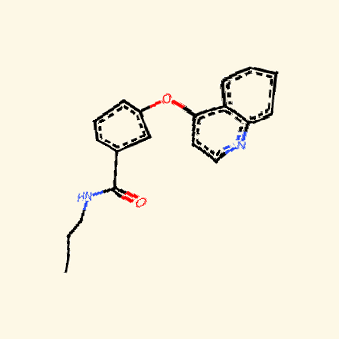 CCCNC(=O)c1cccc(Oc2ccnc3ccccc23)c1